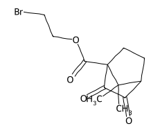 CC1(C)C2CCC1(C(=O)OCCBr)C(=O)C2=O